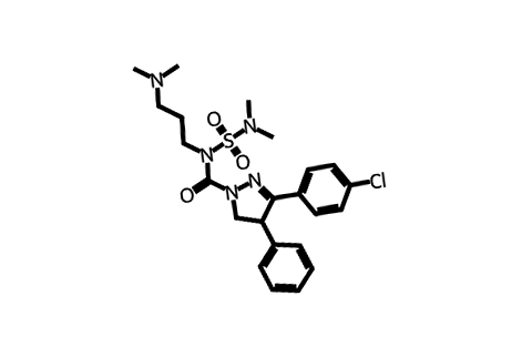 CN(C)CCCN(C(=O)N1CC(c2ccccc2)C(c2ccc(Cl)cc2)=N1)S(=O)(=O)N(C)C